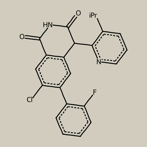 CC(C)c1cccnc1C1C(=O)NC(=O)c2cc(Cl)c(-c3ccccc3F)cc21